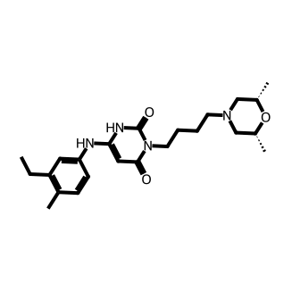 CCc1cc(Nc2cc(=O)n(CCCCN3C[C@@H](C)O[C@@H](C)C3)c(=O)[nH]2)ccc1C